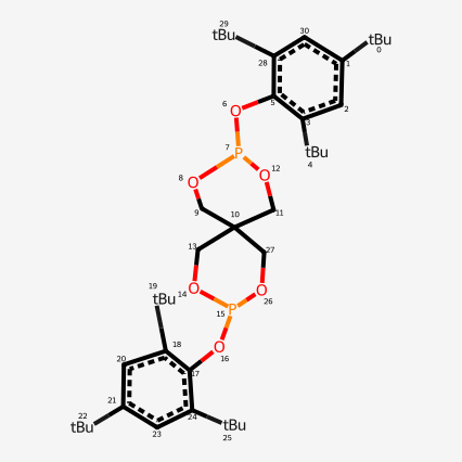 CC(C)(C)c1cc(C(C)(C)C)c(OP2OCC3(CO2)COP(Oc2c(C(C)(C)C)cc(C(C)(C)C)cc2C(C)(C)C)OC3)c(C(C)(C)C)c1